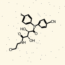 N#Cc1ccc(N(C(=O)[C@H](O)[C@@H](O)C(=O)NCCCl)c2ccc(I)cc2)cc1